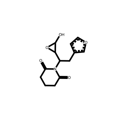 O=C1CCCC(=O)N1C(Cc1ccoc1)C1OC1O